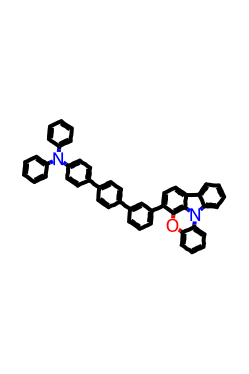 c1ccc(N(c2ccccc2)c2ccc(-c3ccc(-c4cccc(-c5ccc6c7ccccc7n7c6c5Oc5ccccc5-7)c4)cc3)cc2)cc1